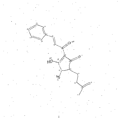 C=C(C)CCC1C(=O)C(C(=O)C=Cc2ccccc2)=C(O)C1O